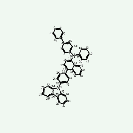 c1ccc(-c2ccc(N(c3ccccc3)c3ccc(-c4ccc(-n5c6ccccc6c6ccccc65)cc4)c4ccccc34)cc2)cc1